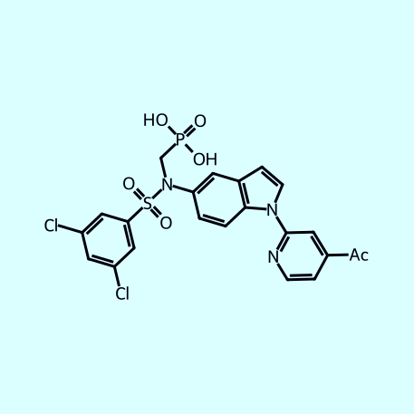 CC(=O)c1ccnc(-n2ccc3cc(N(CP(=O)(O)O)S(=O)(=O)c4cc(Cl)cc(Cl)c4)ccc32)c1